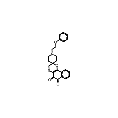 O=C1C(=O)c2ccccc2C2=C1SCC1(CCN(CCOc3ccccc3)CC1)O2